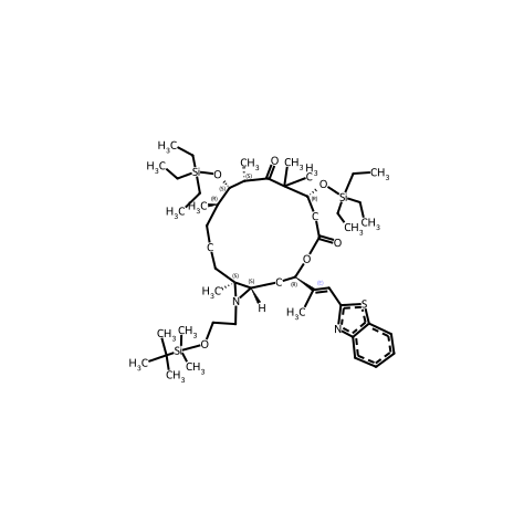 CC[Si](CC)(CC)O[C@H]1[C@H](C)CCC[C@@]2(C)[C@H](C[C@H](/C(C)=C/c3nc4ccccc4s3)OC(=O)C[C@@H](O[Si](CC)(CC)CC)C(C)(C)C(=O)[C@H]1C)N2CCO[Si](C)(C)C(C)(C)C